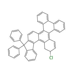 ClC1C=Cc2c(c3c4c(ccc3c3c5ccccc5c5ccccc5c23)C(c2ccccc2)(c2ccccc2)c2ccccc2-4)C1